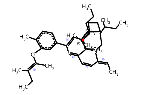 C\C=C(/C=C\C(=N\C(=C/C(C)=C1CCC1)c1ccc(C)c(O/C(C)=C(\C)CC)c1)C(C)CC)N(CCC(C)CC)C[C@H](C)CCCC